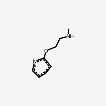 CNCCOc1ccccn1